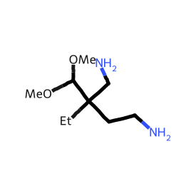 CCC(CN)(CCN)C(OC)OC